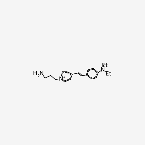 CCN(CC)c1ccc(/C=C/c2cc[n+](CCCN)cc2)cc1